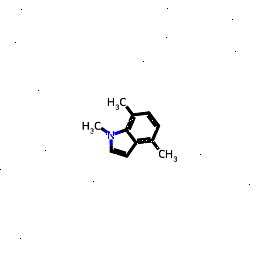 Cc1ccc(C)c2c1ccn2C